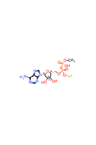 COP(=O)(O)OP(=O)(OS)OC[C@H]1O[C@@H](n2cnc3c(N)ncnc32)[C@H](O)[C@@H]1O